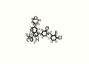 CC(n1cc(-c2ccn(Cc3cccc(Cl)c3F)c(=O)c2)c2cc(N3CCOCC3)cnc21)C(C)(C)C(=O)O